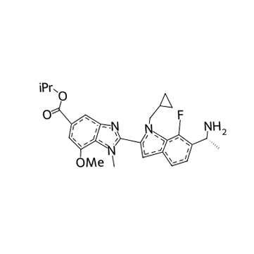 COc1cc(C(=O)OC(C)C)cc2nc(-c3cc4ccc([C@@H](C)N)c(F)c4n3CC3CC3)n(C)c12